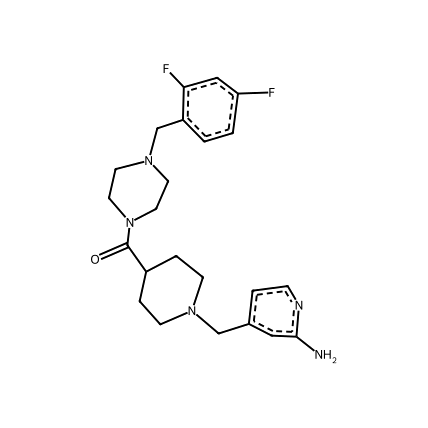 Nc1cc(CN2CCC(C(=O)N3CCN(Cc4ccc(F)cc4F)CC3)CC2)ccn1